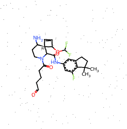 CC1(C)CCc2cc(NC(=O)C3N(C(=O)CCCC=O)CCC(N)[C@]34C=CC4OC(F)F)cc(F)c21